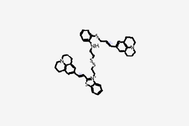 C(=C\c1cc2c3c(c1)CCCN3CCC2)/CSc1ccccc1NCCSSCC[n+]1c(/C=C/c2cc3c4c(c2)CCCN4CCC3)sc2ccccc21